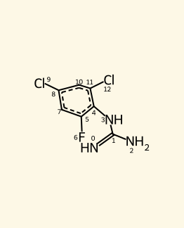 N=C(N)Nc1c(F)cc(Cl)cc1Cl